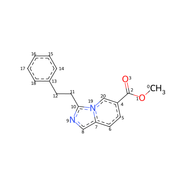 COC(=O)c1ccc2cnc(CCc3ccccc3)n2c1